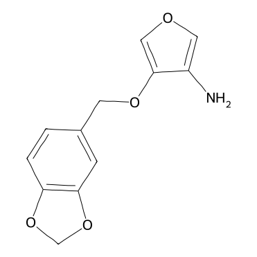 Nc1cocc1OCc1ccc2c(c1)OCO2